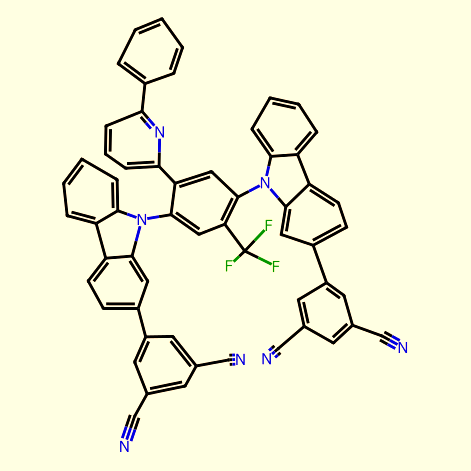 N#Cc1cc(C#N)cc(-c2ccc3c4ccccc4n(-c4cc(C(F)(F)F)c(-n5c6ccccc6c6ccc(-c7cc(C#N)cc(C#N)c7)cc65)cc4-c4cccc(-c5ccccc5)n4)c3c2)c1